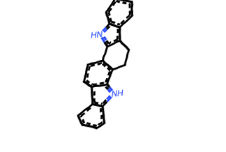 c1ccc2c3c([nH]c2c1)-c1ccc2c([nH]c4ccccc42)c1CC3